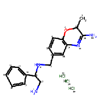 CC1Oc2ccc(CNC(CN)c3ccccc3)cc2N=C1N.Cl.Cl.Cl